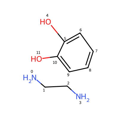 NCCN.Oc1ccccc1O